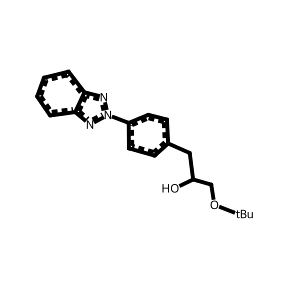 CC(C)(C)OCC(O)Cc1ccc(-n2nc3ccccc3n2)cc1